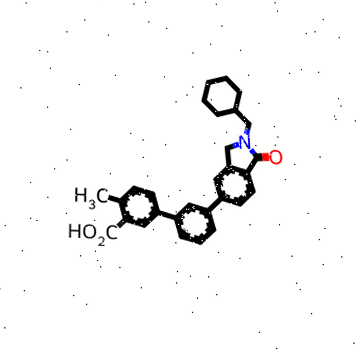 Cc1ccc(-c2cccc(-c3ccc4c(c3)CN(CC3CCCCC3)C4=O)c2)cc1C(=O)O